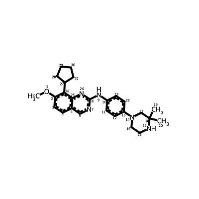 COc1ccc2cnc(Nc3ccc(N4CCNC(C)(C)C4)cc3)nc2c1C1CCCC1